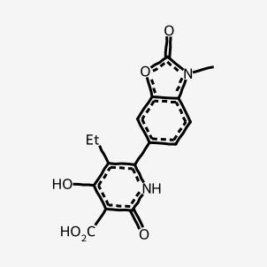 CCc1c(-c2ccc3c(c2)oc(=O)n3C)[nH]c(=O)c(C(=O)O)c1O